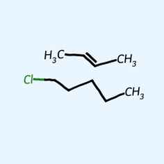 CC=CC.CCCCCCl